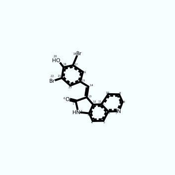 O=C1Nc2ccc3ncccc3c2C1=Cc1cc(Br)c(O)c(Br)c1